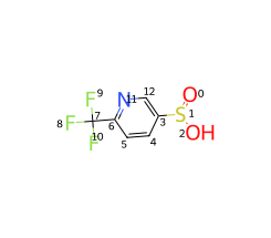 O=S(O)c1ccc(C(F)(F)F)nc1